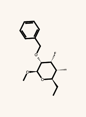 CC[C@H]1O[C@@H](OC)[C@H](OCc2ccccc2)[C@H](F)[C@@H]1C